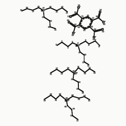 CCC[CH2][Sn+]([CH2]CCC)[CH2]CCC.CCC[CH2][Sn+]([CH2]CCC)[CH2]CCC.CCC[CH2][Sn+]([CH2]CCC)[CH2]CCC.CCC[CH2][Sn+]([CH2]CCC)[CH2]CCC.O=C([O-])c1cc(C(=O)[O-])c(C(=O)[O-])cc1C(=O)[O-]